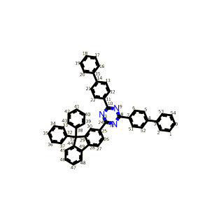 c1ccc(-c2ccc(-c3nc(-c4ccc(-c5ccccc5)cc4)nc(-c4ccc5c(c4)C(c4ccccc4)(c4ccccc4)c4ccccc4-5)n3)cc2)cc1